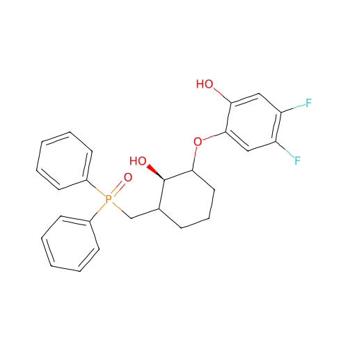 O=P(CC1CCCC(Oc2cc(F)c(F)cc2O)[C@@H]1O)(c1ccccc1)c1ccccc1